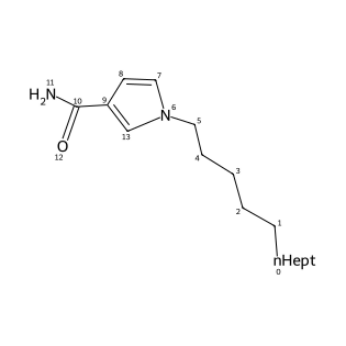 CCCCCCCCCCCCn1ccc(C(N)=O)c1